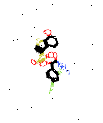 NC(=O)C(OS(=O)(=O)c1csc2c1CCCC2=O)c1ccc(F)cc1F